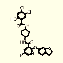 O=C(NC1CCC(NC(=O)c2cc(F)cnc2Oc2ccc3c(c2)SCC3)CC1)c1cc(Cl)c(Cl)cc1O